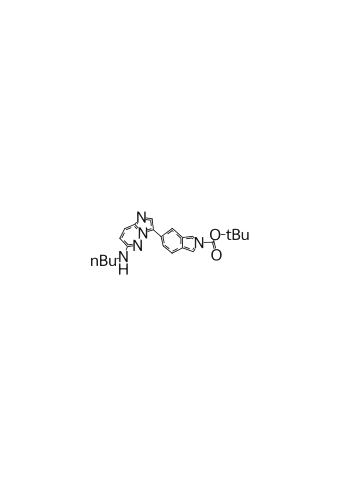 CCCCNc1ccc2ncc(-c3ccc4cn(C(=O)OC(C)(C)C)cc4c3)n2n1